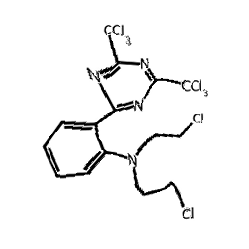 ClCCN(CCCl)c1ccccc1-c1nc(C(Cl)(Cl)Cl)nc(C(Cl)(Cl)Cl)n1